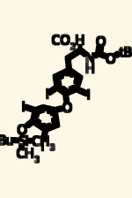 CC(C)(C)OC(=O)N[C@@H](Cc1cc(I)c(Oc2cc(I)c(O[Si](C)(C)C(C)(C)C)c(I)c2)c(I)c1)C(=O)O